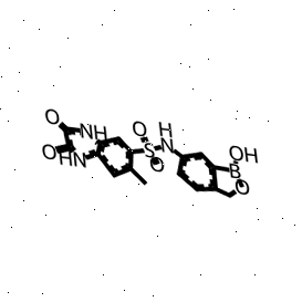 Cc1cc2[nH]c(=O)c(=O)[nH]c2cc1S(=O)(=O)Nc1ccc2c(c1)B(O)OC2